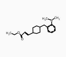 CCOC(=O)C=CC1CCC(Cc2ccccc2N(C)C)CC1